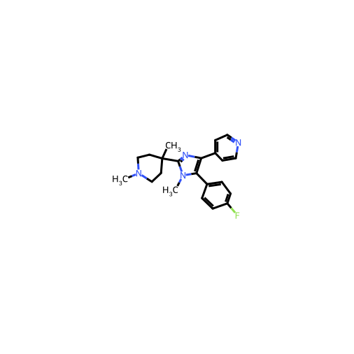 CN1CCC(C)(c2nc(-c3ccncc3)c(-c3ccc(F)cc3)n2C)CC1